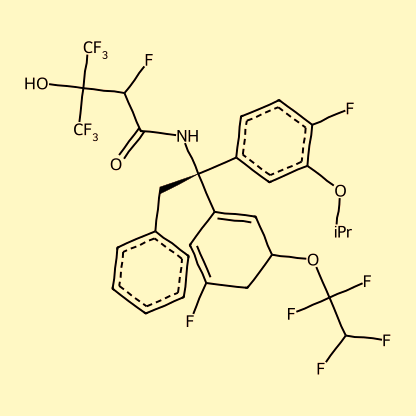 CC(C)Oc1cc([C@@](Cc2ccccc2)(NC(=O)C(F)C(O)(C(F)(F)F)C(F)(F)F)C2=CC(OC(F)(F)C(F)F)CC(F)=C2)ccc1F